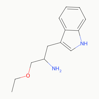 CCOCC(N)Cc1c[nH]c2ccccc12